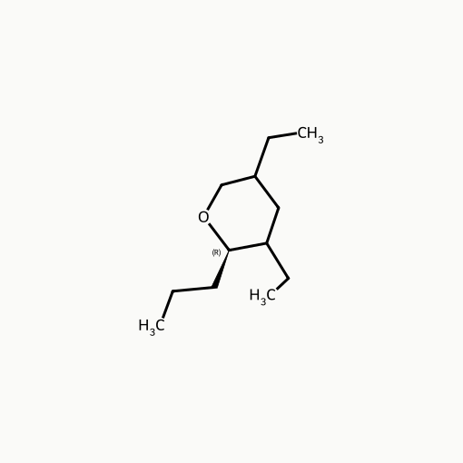 CCC[C@H]1OCC(CC)CC1CC